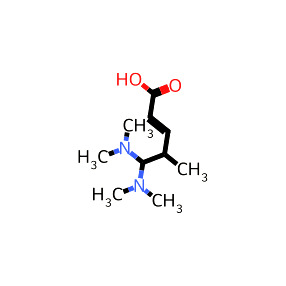 CC(C=CC(=O)O)C(N(C)C)N(C)C